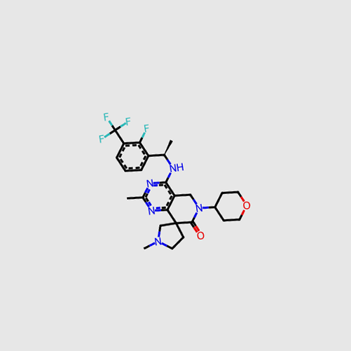 Cc1nc(N[C@H](C)c2cccc(C(F)(F)F)c2F)c2c(n1)C1(CCN(C)C1)C(=O)N(C1CCOCC1)C2